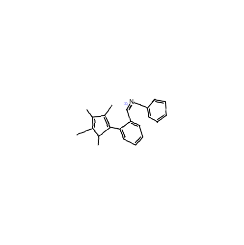 CC1=C(C)C(C)C(c2ccccc2/C=N\c2ccccc2)=C1C